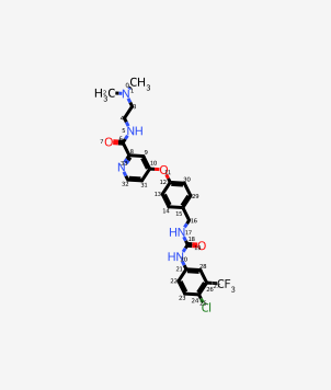 CN(C)CCNC(=O)c1cc(Oc2ccc(CNC(=O)Nc3ccc(Cl)c(C(F)(F)F)c3)cc2)ccn1